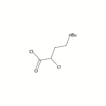 CCCCCCC(Cl)C(=O)Cl